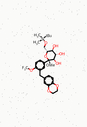 CO[C@@]1(c2ccc(OC(F)(F)F)c(Cc3ccc4c(c3)OCCO4)c2)O[C@H](CO[Si](C)(C)C(C)(C)C)[C@@H](O)[C@H](O)[C@H]1O